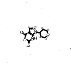 O=c1sc(=S)[nH]c2c1cnn2C1CCOCC1